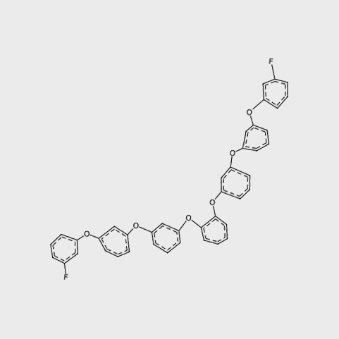 Fc1cccc(Oc2cccc(Oc3cccc(Oc4ccccc4Oc4cccc(Oc5cccc(Oc6cccc(F)c6)c5)c4)c3)c2)c1